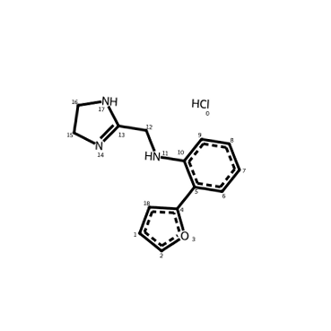 Cl.c1coc(-c2ccccc2NCC2=NCCN2)c1